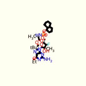 CCOc1nc(N)nc2c1ncn2C1O[C@H](COP(=O)(N[C@@H](C)C(=O)OCC(C)(C)C)Oc2cccc3ccccc23)[C@@H](F)[C@@]1(C)O